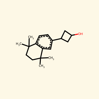 CC1(C)CCC(C)(C)c2cc(C3CC(O)C3)ccc21